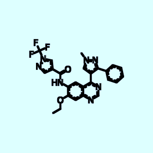 CCOc1cc2ncnc(-c3cn(C)nc3-c3ccccc3)c2cc1NC(=O)c1cnn(C(F)(F)F)c1